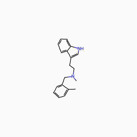 Cc1ccccc1CN(C)CCc1c[nH]c2ccccc12